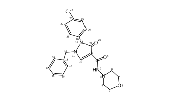 O=C(NN1CCOCC1)c1cn(Cc2ccccc2)n(-c2ccc(Cl)cc2)c1=O